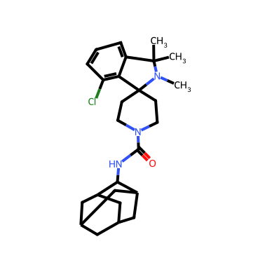 CN1C(C)(C)c2cccc(Cl)c2C12CCN(C(=O)NC1C3CC4CC(C3)CC1C4)CC2